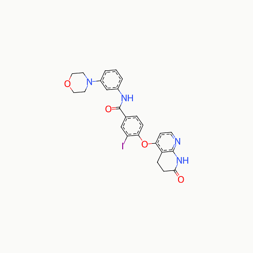 O=C1CCc2c(Oc3ccc(C(=O)Nc4cccc(N5CCOCC5)c4)cc3I)ccnc2N1